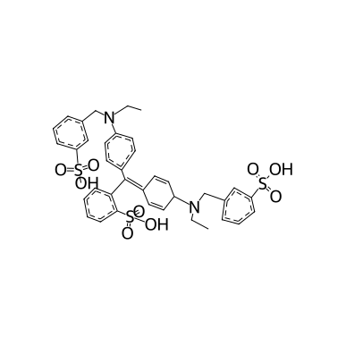 CCN(Cc1cccc(S(=O)(=O)O)c1)c1ccc(C(=C2C=CC(N(CC)Cc3cccc(S(=O)(=O)O)c3)C=C2)c2ccccc2S(=O)(=O)O)cc1